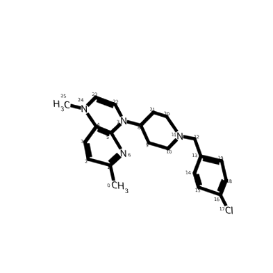 Cc1ccc2c(n1)N(C1CCN(Cc3ccc(Cl)cc3)CC1)C=CN2C